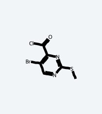 CSc1ncc(Br)c(C(=O)Cl)n1